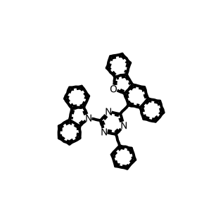 c1ccc(-c2nc(-c3c4ccccc4cc4c3oc3ccccc34)nc(-n3c4ccccc4c4ccccc43)n2)cc1